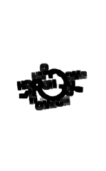 C#CC(=O)OC1/C(C)=C/[C@H](C)C(O)C(OC)C[C@H](C)Cc2c(O)c(cc(O)c2NCC=C)NC(=O)/C(C)=C/C=C\C1OC